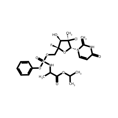 C=C1NC(=O)C=CN1[C@@H]1O[C@](F)(COP(=O)(NC(C)C(=O)OC(C)C)Oc2ccccc2)[C@@H](O)[C@@]1(C)Cl